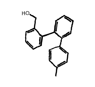 Cc1ccc(-c2ccccc2-c2ccccc2CO)cc1